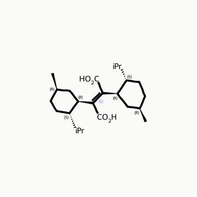 CC(C)[C@@H]1CC[C@@H](C)C[C@H]1/C(C(=O)O)=C(\C(=O)O)[C@@H]1C[C@H](C)CC[C@H]1C(C)C